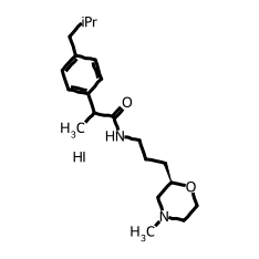 CC(C)Cc1ccc(C(C)C(=O)NCCC[C@@H]2CN(C)CCO2)cc1.I